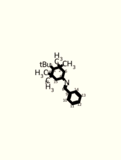 CC(C)(C)C1C(C)(C)CC(/N=C/c2ccccc2)CC1(C)C